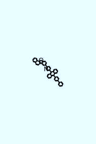 c1ccc(-c2ccc(-c3c4ccccc4c(-c4ccc(-c5ccc6oc7c8ccccc8ccc7c6c5)nc4)c4ccccc34)cc2)cc1